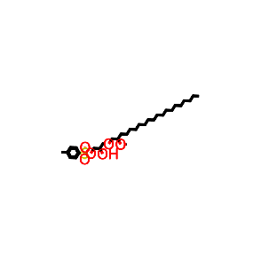 CCCCCCCCCCCCCCCCCCC(COCC(O)COS(=O)(=O)c1ccc(C)cc1)OC